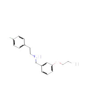 CCCOc1cccc(CNCCc2ccc(F)cc2)c1